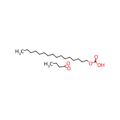 CCCC1OO1.CCCCCCCCCCCCCCCCOC(=O)O